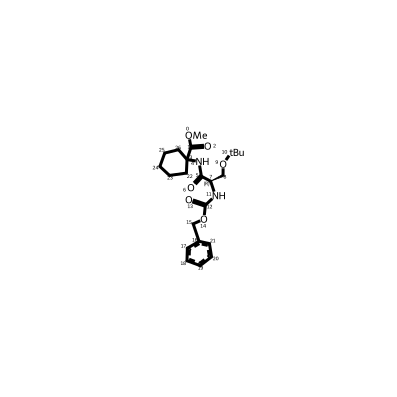 COC(=O)C1(NC(=O)[C@@H](COC(C)(C)C)NC(=O)OCc2ccccc2)CCCCC1